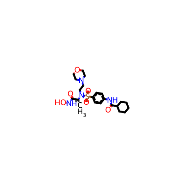 C[C@H](C(=O)NO)N(CCN1CCOCC1)S(=O)(=O)c1ccc(NC(=O)C2CCCCC2)cc1